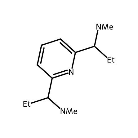 CCC(NC)c1cccc(C(CC)NC)n1